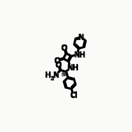 NC(=O)[C@@H](Nc1c(Nc2ccncc2)c(=O)c1=O)c1ccc(Cl)cc1